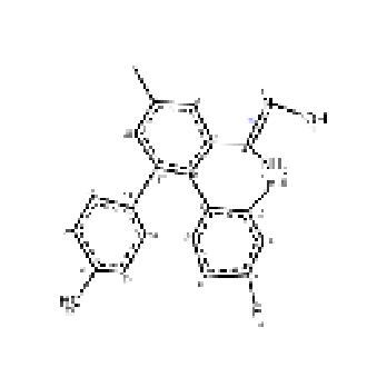 Cc1cc(/C(N)=N/O)c(-c2ccc(F)cc2F)c(-c2ccc(O)cc2)c1